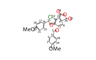 COc1ccc(COc2cc3c(c(Cl)c2OCc2ccc(OC)cc2)C(=O)OC3=O)cc1